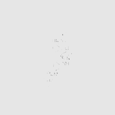 Cc1ccc(NC(=O)OC(C)(C)C)cc1-c1nc(Nc2cccc(NC(=O)OC(C)(C)C)c2)ncc1Cl